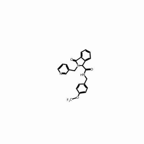 O=C(NCc1ccc(OC(F)(F)F)cc1)C1c2ccccc2C(=O)N1Cc1cccnc1